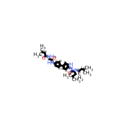 C=C(CC(C)C)NC(CC(C)C)C(=O)Nc1ccc(-c2ccc(NC(=O)CNC(=O)CC(C)C)cc2)cc1